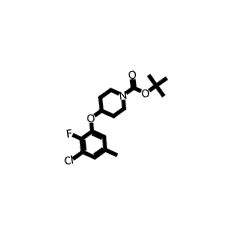 Cc1cc(Cl)c(F)c(OC2CCN(C(=O)OC(C)(C)C)CC2)c1